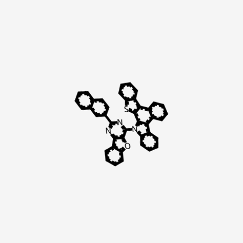 c1ccc2cc(-c3nc(-n4c5ccccc5c5c6ccccc6c6c7ccccc7sc6c54)c4oc5ccccc5c4n3)ccc2c1